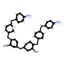 CCCc1cc(Cc2ccc(Cc3ccc(Cc4ccc(N)cc4)cc3)c(CCC)c2)ccc1Cc1ccc(Cc2ccc(N)cc2)cc1